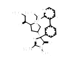 CCC(=O)C1CC([C@]2(c3cccc(-c4cccnc4F)c3)N=C(N)N(C)C2=O)CN1CC